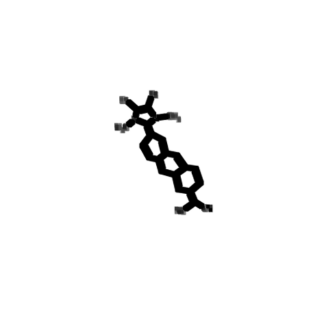 CCC1=C(CC)N(C)C(=c2ccc3cc4cc(=C(C#N)C#N)ccc4cc3c2)N1C